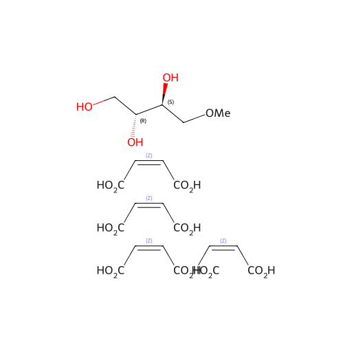 COC[C@H](O)[C@H](O)CO.O=C(O)/C=C\C(=O)O.O=C(O)/C=C\C(=O)O.O=C(O)/C=C\C(=O)O.O=C(O)/C=C\C(=O)O